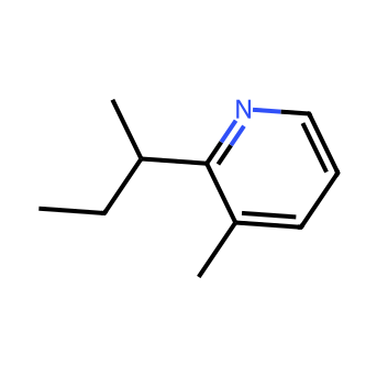 CCC(C)c1ncccc1C